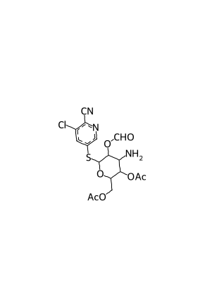 CC(=O)OCC1OC(Sc2cnc(C#N)c(Cl)c2)C(OC=O)C(N)C1OC(C)=O